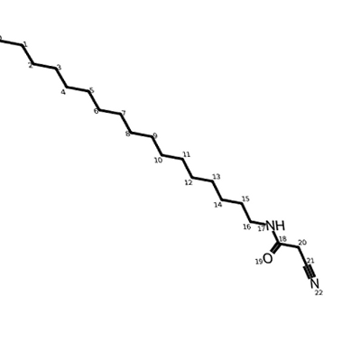 CCCCCCCCCCCCCCCCCNC(=O)CC#N